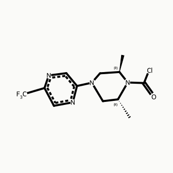 C[C@@H]1CN(c2cnc(C(F)(F)F)cn2)C[C@@H](C)N1C(=O)Cl